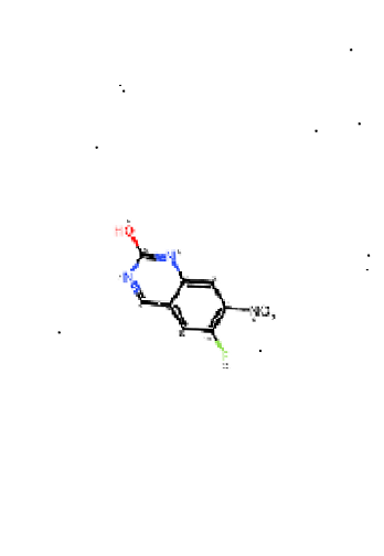 O=[N+]([O-])c1cc2nc(O)ncc2cc1F